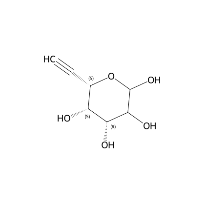 C#C[C@@H]1OC(O)C(O)[C@H](O)[C@@H]1O